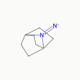 [N-]=[N+]1C23CCC1(CC2)CC3